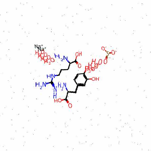 N=C(N)NCCCC(N)C(=O)O.N[C@@H](Cc1ccc(O)c(O)c1)C(=O)O.O.O.O.O.O.O.O.O=S([O-])[O-].[Na+].[Na+]